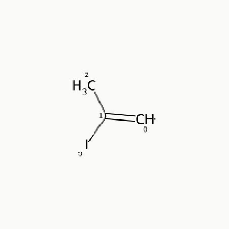 [CH]=C(C)I